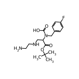 CC(C)(C)OC(=O)C(CNCCN)N(Cc1ccc(F)cc1)C(=O)O